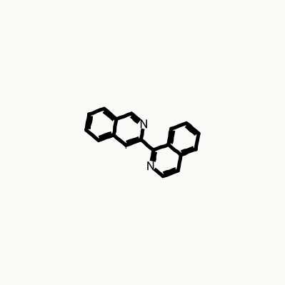 [c]1c(-c2nccc3ccccc23)ncc2ccccc12